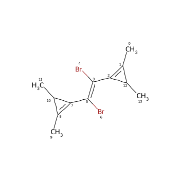 CC1=C(/C(Br)=C(\Br)C2=C(C)C2C)C1C